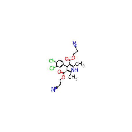 CC1=C(C(=O)OCCC#N)C(c2ccc(Cl)c(Cl)c2)C(C(=O)OCCC#N)=C(C)N1